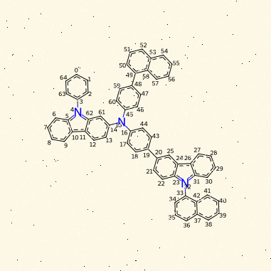 c1ccc(-n2c3ccccc3c3ccc(N(c4ccc(-c5ccc6c(c5)c5ccccc5n6-c5cccc6ccccc56)cc4)c4ccc(-c5cccc6ccccc56)cc4)cc32)cc1